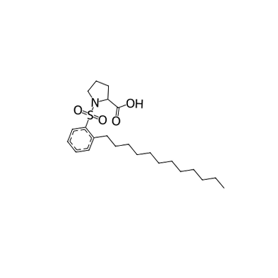 CCCCCCCCCCCCc1ccccc1S(=O)(=O)N1CCCC1C(=O)O